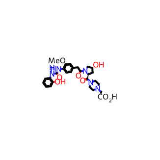 COc1cc(CC(=O)N2C[C@H](O)C[C@H]2C(=O)N2CCN(CC(=O)O)CC2)ccc1NC(=O)Nc1ccccc1O